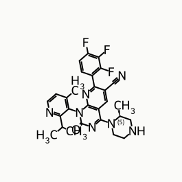 Cc1ccnc(C(C)C)c1-n1c(=O)nc(N2CCNC[C@@H]2C)c2cc(C#N)c(-c3ccc(F)c(F)c3F)nc21